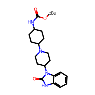 CC(C)(C)OC(=O)NC1CCC(N2CCC(n3c(=O)[nH]c4ccccc43)CC2)CC1